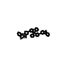 c1ccc([Si](c2ccccc2)(c2cccc(-c3ccc4c(c3)nc3n4-c4ccccc4SC3)c2)c2cccc(-c3ccc4sc5ccccc5c4c3)c2)cc1